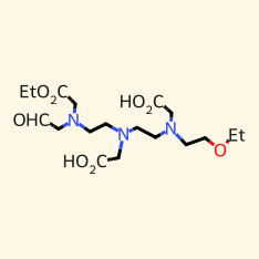 CCOCCN(CCN(CCN(CC=O)CC(=O)OCC)CC(=O)O)CC(=O)O